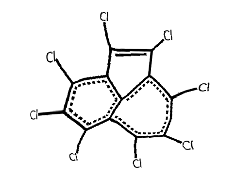 ClC1=C(Cl)c2c(Cl)c(Cl)c(Cl)c3c(Cl)c(Cl)c(Cl)c1c23